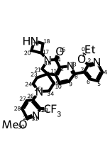 CCOc1ncccc1-c1ccc2c(n1)C(=O)N(C1CNC1)CC21CCN(c2ccc(OC)nc2C(F)(F)F)CC1